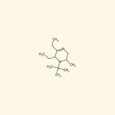 CCC1=NCC(C)N([Si](C)(C)C)C1CC